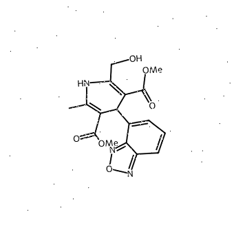 COC(=O)C1=C(C)NC(CO)=C(C(=O)OC)C1c1cccc2nonc12